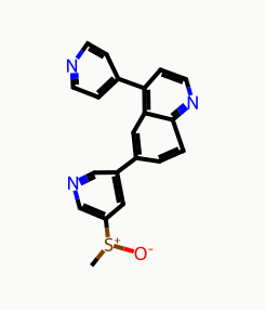 C[S+]([O-])c1cncc(-c2ccc3nccc(-c4ccncc4)c3c2)c1